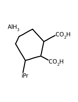 CC(C)C1CCCC(C(=O)O)C1C(=O)O.[AlH3]